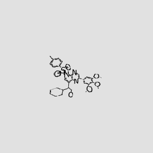 COc1cc(-c2cnc3c(n2)c(C(C=O)C2CCCCC2)cn3S(=O)(=O)c2ccc(C)cc2)cc(OC)c1OC